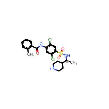 Cc1ccccc1C(=O)Nc1cc(Cl)c(S(=O)(=O)N[C@@H](C)C2CCNCC2)cc1Cl